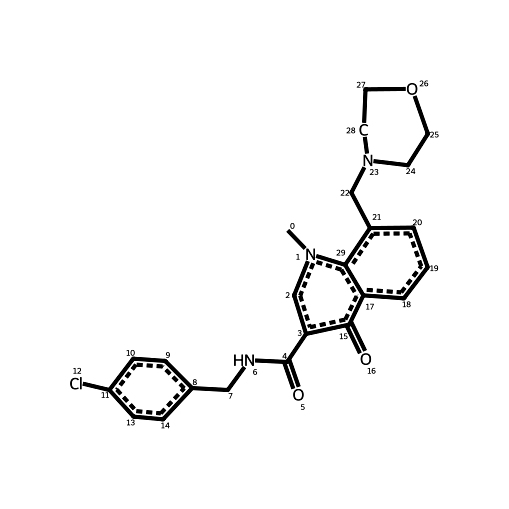 Cn1cc(C(=O)NCc2ccc(Cl)cc2)c(=O)c2cccc(CN3CCOCC3)c21